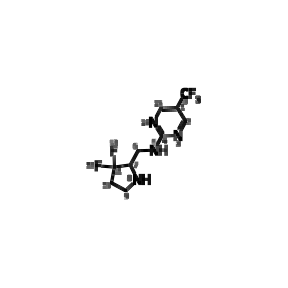 FC(F)(F)c1cnc(NCC2NCCC2(F)F)nc1